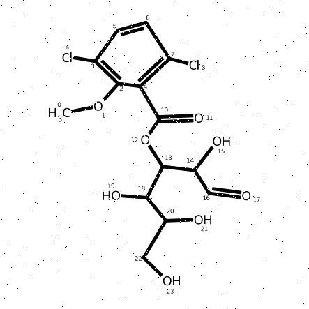 COc1c(Cl)ccc(Cl)c1C(=O)OC(C(O)C=O)C(O)C(O)CO